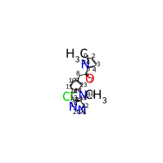 Cc1cccc(C(=O)Cc2ccc(Cl)c(N(C)c3cncnc3)c2)n1